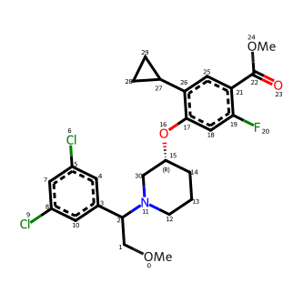 COCC(c1cc(Cl)cc(Cl)c1)N1CCC[C@@H](Oc2cc(F)c(C(=O)OC)cc2C2CC2)C1